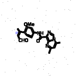 COc1cc(NC(=O)c2ncn3c(C)cc(C)nc23)ccc1/C(C)=C\C=O